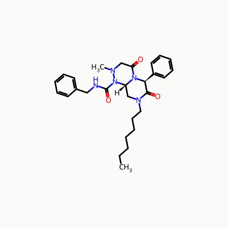 CCCCCCCN1C[C@H]2N(C(=O)CN(C)N2C(=O)NCc2ccccc2)[C@@H](c2ccccc2)C1=O